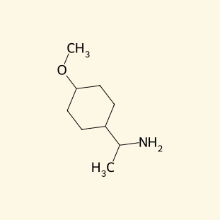 COC1CCC(C(C)N)CC1